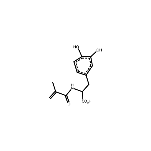 C=C(C)C(=O)NC(Cc1ccc(O)c(O)c1)C(=O)O